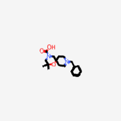 CC1(C)CN(C(=O)O)CC2(CCN(Cc3ccccc3)CC2)O1